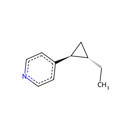 CC[C@H]1C[C@@H]1c1ccncc1